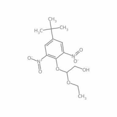 CCOC(CO)Oc1c([N+](=O)[O-])cc(C(C)(C)C)cc1[N+](=O)[O-]